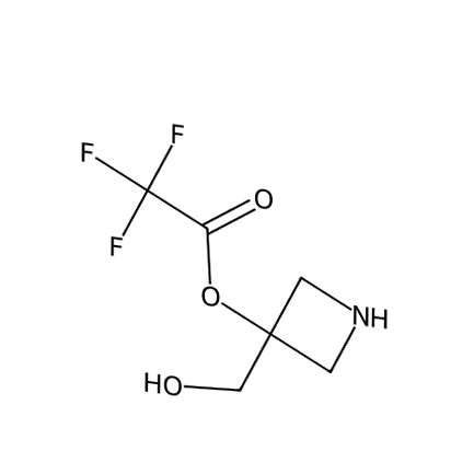 O=C(OC1(CO)CNC1)C(F)(F)F